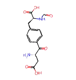 N[C@@H](CC(=O)O)C(=O)c1ccc(C[C@H](NC=O)C(=O)O)cc1